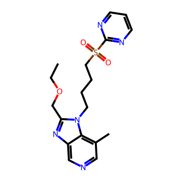 CCOCc1nc2cncc(C)c2n1CCCCS(=O)(=O)c1ncccn1